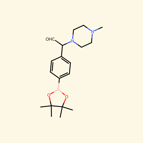 CN1CCN(C(C=O)c2ccc(B3OC(C)(C)C(C)(C)O3)cc2)CC1